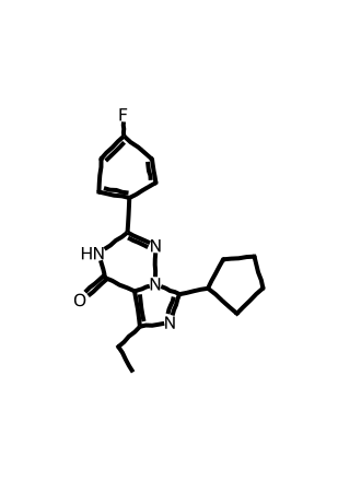 CCc1nc(C2CCCC2)n2nc(-c3ccc(F)cc3)[nH]c(=O)c12